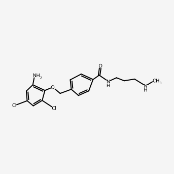 CNCCCNC(=O)c1ccc(COc2c(N)cc(Cl)cc2Cl)cc1